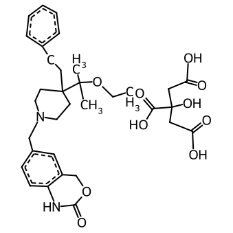 CCOC(C)(C)C1(CCc2ccccc2)CCN(Cc2ccc3c(c2)COC(=O)N3)CC1.O=C(O)CC(O)(CC(=O)O)C(=O)O